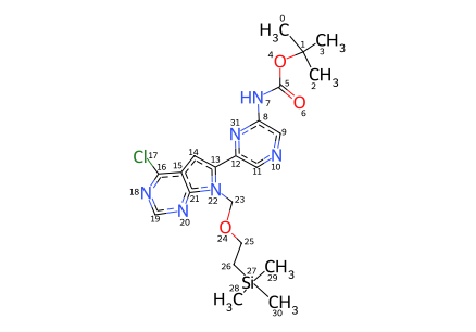 CC(C)(C)OC(=O)Nc1cncc(-c2cc3c(Cl)ncnc3n2COCC[Si](C)(C)C)n1